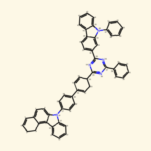 C1=Cc2ccc3c(c2CC1)c1ccccc1n3-c1ccc(C2=CCC(c3nc(-c4ccccc4)nc(-c4ccc5c6ccccc6n(-c6ccccc6)c5c4)n3)C=C2)cc1